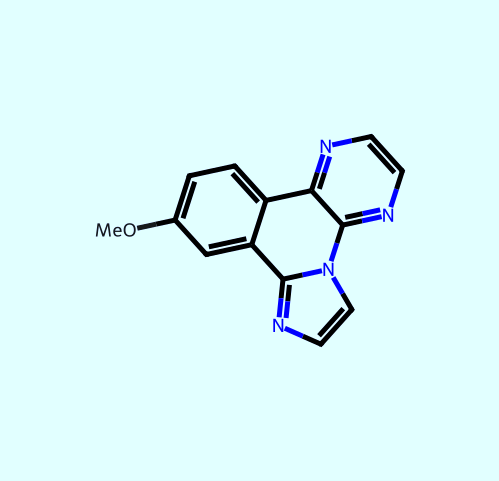 COc1ccc2c(c1)c1nccn1c1nccnc21